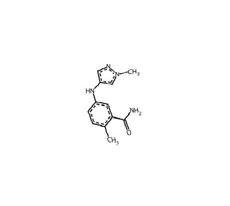 Cc1ccc(Nc2cnn(C)c2)cc1C(N)=O